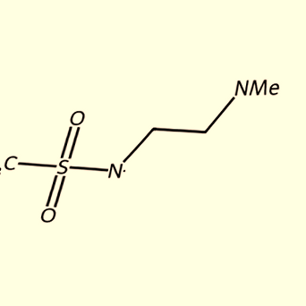 CNCC[N]S(C)(=O)=O